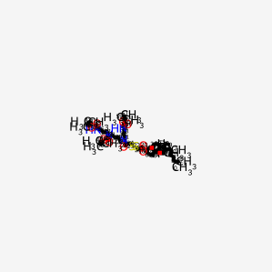 CC(C)CCC[C@@H](C)[C@H]1CC[C@H]2[C@@H]3CC=C4C[C@@H](OC(=O)CSSCC(=O)N(CCCCN(CCCNC(=O)OC(C)(C)C)C(=O)OC(C)(C)C)CCCNC(=O)OC(C)(C)C)CC[C@]4(C)[C@H]3CC[C@]12C